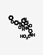 O=C(O)NC1CCC(NC(=O)c2sc3nccc4c3c2NC(=O)N4c2ccc(Oc3ccccc3)cc2)C1